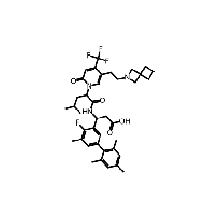 Cc1cc(C)c(-c2cc(C)c(F)c([C@H](CC(=O)O)NC(=O)C(CC(C)C)n3cc(CCN4CC5(CCC5)C4)c(C(F)(F)F)cc3=O)c2)c(C)c1